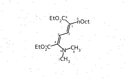 CCCCCCCCC(=CC=C(C(=O)OCC)N(C)C)C(=O)OCC